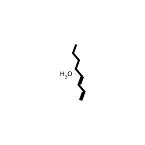 C=C/C=C/CCCC.O